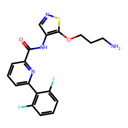 NCCCOc1sncc1NC(=O)c1cccc(-c2c(F)cccc2F)n1